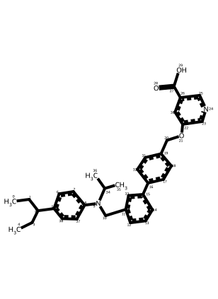 CCC(CC)c1ccc(N(Cc2cccc(-c3ccc(COc4cncc(C(=O)O)c4)cc3)c2)C(C)C)cc1